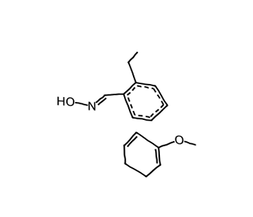 CCc1ccccc1C=NO.COC1=CCCC=C1